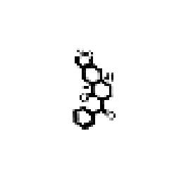 C[C@@]12Cc3cnoc3C[C@H]1CCC(C(=O)c1ccccc1)C2=O